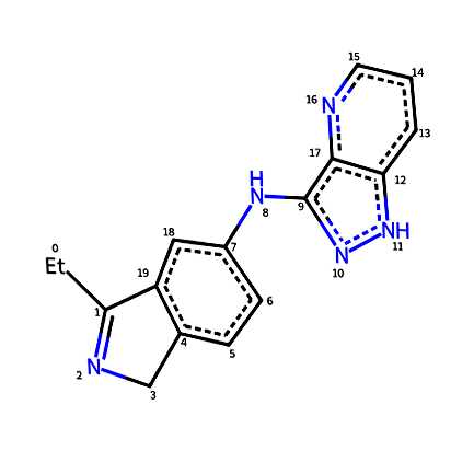 CCC1=NCc2ccc(Nc3n[nH]c4cccnc34)cc21